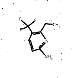 CCc1nc(N)ccc1C(F)(F)F